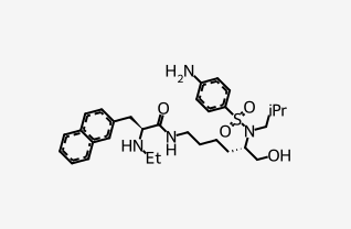 CCN[C@@H](Cc1ccc2ccccc2c1)C(=O)NCCCC[C@@H](CO)N(CC(C)C)S(=O)(=O)c1ccc(N)cc1